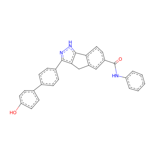 O=C(Nc1ccccc1)c1ccc2c(c1)Cc1c(-c3ccc(-c4ccc(O)cc4)cc3)n[nH]c1-2